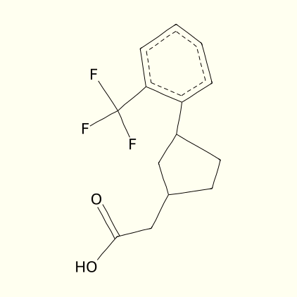 O=C(O)CC1CCC(c2ccccc2C(F)(F)F)C1